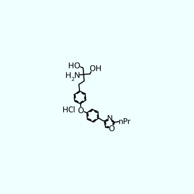 CCCc1nc(-c2ccc(Oc3ccc(CCC(N)(CO)CO)cc3)cc2)co1.Cl